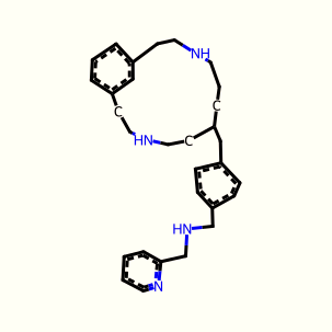 c1ccc(CNCc2ccc(CC3CCCNCCc4cccc(c4)CCNCC3)cc2)nc1